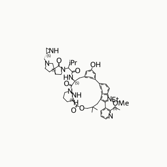 CCn1c(-c2cccnc2[C@H](C)OC)c2c3cc(ccc31)-c1cc(O)cc(c1)C[C@H](NC(=O)C(C(C)C)N1CC[C@]3(CCN(C[C@@H]4CN4)C3)C1=O)C(=O)N1CCC[C@H](N1)C(=O)OCC(C)(C)C2